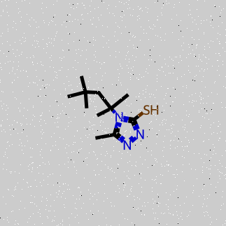 Cc1nnc(S)n1C(C)(C)CC(C)(C)C